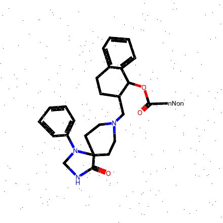 CCCCCCCCCC(=O)OC1c2ccccc2CCC1CN1CCC2(CC1)C(=O)NCN2c1ccccc1